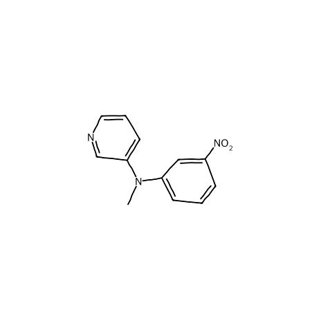 CN(c1cccnc1)c1cccc([N+](=O)[O-])c1